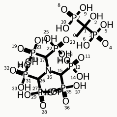 CC(O)(P(=O)(O)O)P(=O)(O)O.O=P(O)(O)C(N(C(P(=O)(O)O)P(=O)(O)O)C(P(=O)(O)O)P(=O)(O)O)P(=O)(O)O